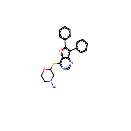 CC(=O)N1CCOC(Sc2ncnc3c(-c4ccccc4)c(-c4ccccc4)oc23)C1